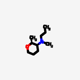 CCCN(C)[C@H]1CCCO[C@@H]1C